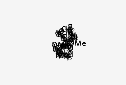 COCCOc1cc2ncnc(Nc3ccc(F)c(Cl)c3)c2cc1OC1CCN(C(=O)N2CCOCC2)CC1.COc1cc2ncnc(Nc3ccc(F)c(Cl)c3)c2cc1OC1CCN(CCN2CCCC2=O)CC1